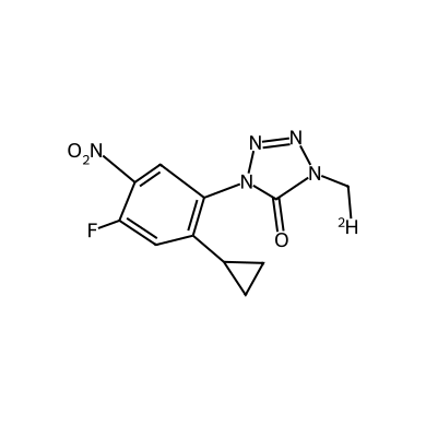 [2H]Cn1nnn(-c2cc([N+](=O)[O-])c(F)cc2C2CC2)c1=O